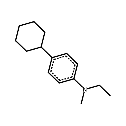 CCN(C)c1ccc(C2CCCCC2)cc1